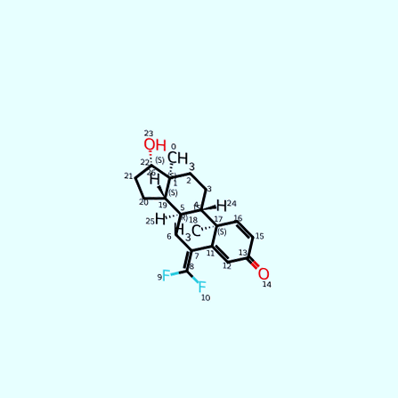 C[C@]12CC[C@H]3[C@@H](CC(=C(F)F)C4=CC(=O)C=C[C@@]43C)[C@@H]1CC[C@@H]2O